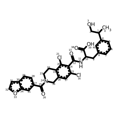 CC(CO)c1cccc(CC(NC(=O)c2c(Cl)cc3c(c2Cl)CCN(C(=O)c2ccc4ccoc4c2)C3)C(=O)O)c1